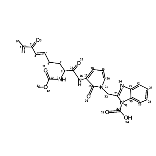 CNC(=O)C=CCCC(NC(=O)OC)C(=O)Nc1cccn(Cc2nc3ccccc3n2C(=O)O)c1=O